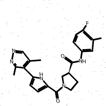 Cc1cc(NC(=O)[C@H]2CCN(C(=O)c3ccc(-c4c(C)cnnc4C)[nH]3)C2)ccc1F